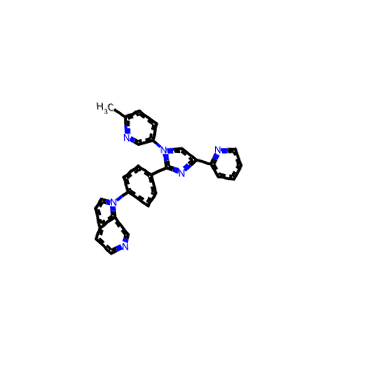 Cc1ccc(-n2cc(-c3ccccn3)nc2-c2ccc(-n3ccc4ccncc43)cc2)cn1